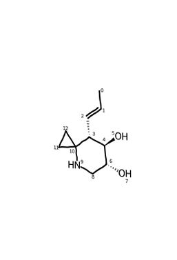 CC=C[C@@H]1[C@@H](O)[C@H](O)CNC12CC2